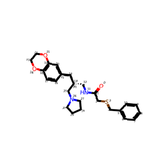 O=C(CSCc1ccccc1)NC[C@@H](Cc1ccc2c(c1)OCCO2)CN1CCCC1